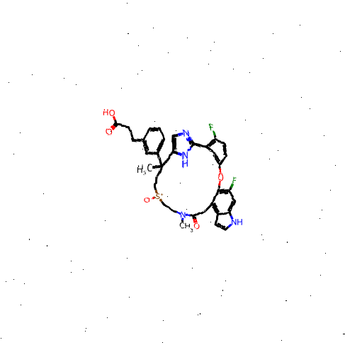 CN1CC[S+]([O-])CCC(C)(c2cccc(CCC(=O)O)c2)c2cnc([nH]2)-c2cc(ccc2F)Oc2c(F)cc3[nH]ccc3c2CC1=O